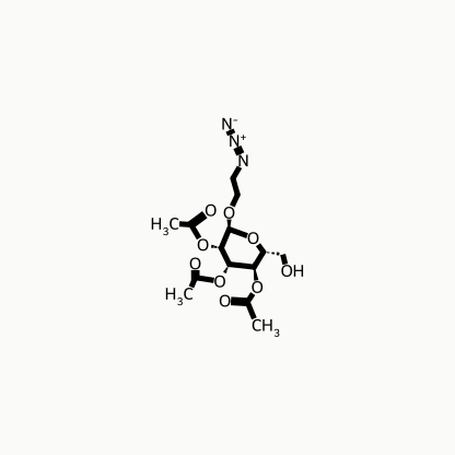 CC(=O)O[C@@H]1[C@H](OC(C)=O)[C@@H](OCCN=[N+]=[N-])O[C@H](CO)[C@H]1OC(C)=O